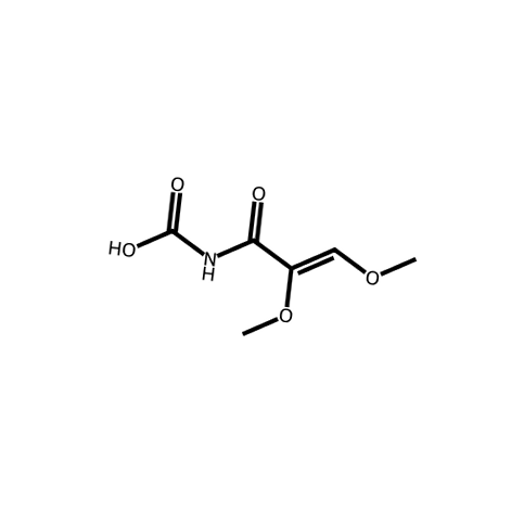 COC=C(OC)C(=O)NC(=O)O